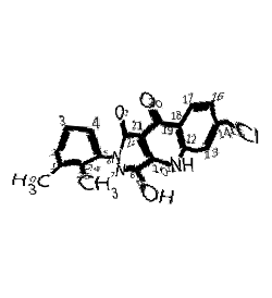 Cc1cccc(-n2nc(O)c3[nH]c4cc(Cl)ccc4c(=O)c3c2=O)c1C